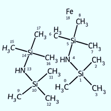 C[Si](C)(C)N[Si](C)(C)C.C[Si](C)(C)N[Si](C)(C)C.[Fe]